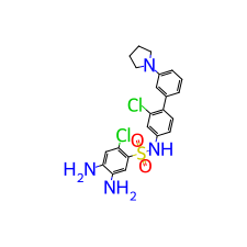 Nc1cc(Cl)c(S(=O)(=O)Nc2ccc(-c3cccc(N4CCCC4)c3)c(Cl)c2)cc1N